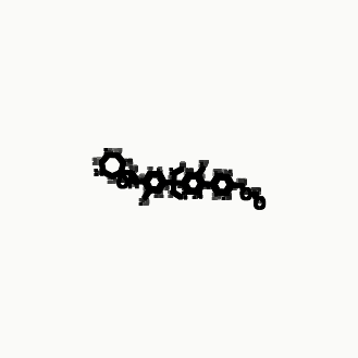 CCC(CC)(c1ccc(/C=C/C2(O)CCCCCC2)c(C)c1)c1ccc(-c2ccc(COC=O)cc2)c(C)c1